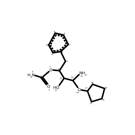 NC(=O)OC(Cc1ccccc1)C(O)C(N)OC1CCCC1